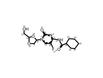 O=C(Nc1nc(=O)n(C2COC(CO)O2)cc1F)C1CCCCC1